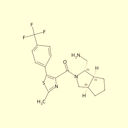 Cc1nc(C(=O)N2C[C@@H]3CCC[C@@H]3[C@H]2CN)c(-c2ccc(C(F)(F)F)cc2)s1